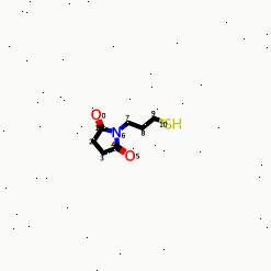 O=C1CCC(=O)N1CCCS